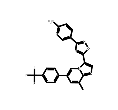 Cc1cc(-c2ccc(C(F)(F)F)cc2)cn2c(-c3nc(-c4ccc(N)nc4)no3)cnc12